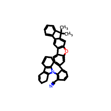 CC1(C)c2ccccc2-c2cc3c(cc21)oc1cc(-c2cccc(C#N)c2-n2c4c(c5c2CCC=C5)C=CCC4)ccc13